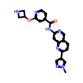 Cn1cc(-c2ccc3cnc(NC(=O)c4ccnc(OC5CNC5)c4)cc3n2)cn1